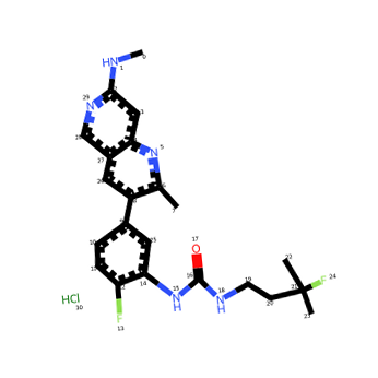 CNc1cc2nc(C)c(-c3ccc(F)c(NC(=O)NCCC(C)(C)F)c3)cc2cn1.Cl